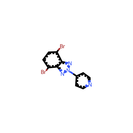 Brc1ccc(Br)c2nn(-c3ccncc3)nc12